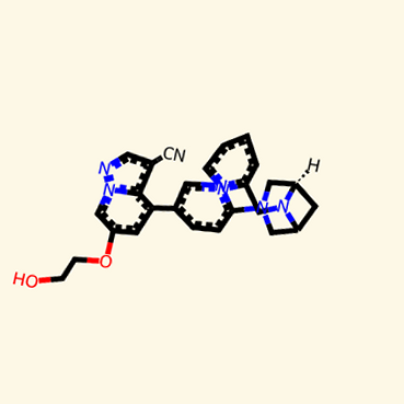 N#Cc1cnn2cc(OCCO)cc(-c3ccc(N4CC5C[C@H](C4)N5Cc4ccccn4)nc3)c12